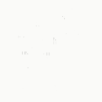 CC(C)(Nc1cccc(C(F)(F)F)c1)C(=O)Nc1nccs1